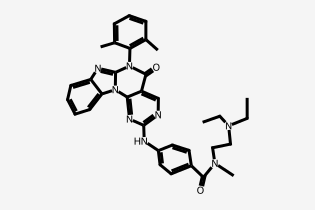 CCN(CC)CCN(C)C(=O)c1ccc(Nc2ncc3c(=O)n(-c4c(C)cccc4C)c4nc5ccccc5n4c3n2)cc1